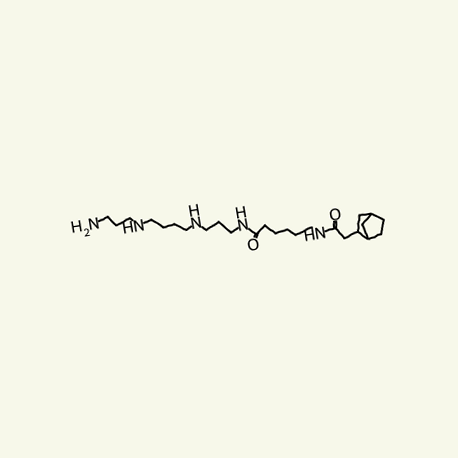 NCCCNCCCCNCCCNC(=O)CCCCCNC(=O)CC1CC2CCC1C2